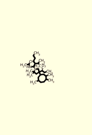 CCCCC(C(C)C)C(NC(C)C)N1CC(C2CC(C)CCC(C)C(C)C2)([C@@H](C)CC)CC1(C)C